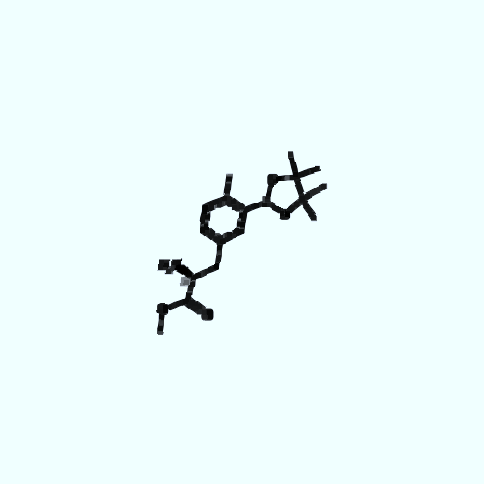 COC(=O)[C@@H](N)Cc1ccc(C)c(B2OC(C)(C)C(C)(C)O2)c1